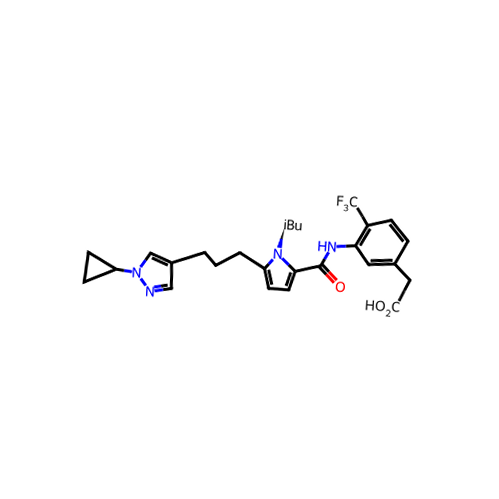 CC[C@H](C)n1c(CCCc2cnn(C3CC3)c2)ccc1C(=O)Nc1cc(CC(=O)O)ccc1C(F)(F)F